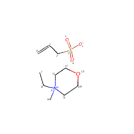 C=CCS(=O)(=O)[O-].CC[N+]1(C)CCOCC1